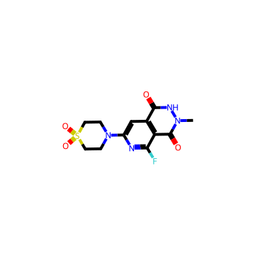 Cn1[nH]c(=O)c2cc(N3CCS(=O)(=O)CC3)nc(F)c2c1=O